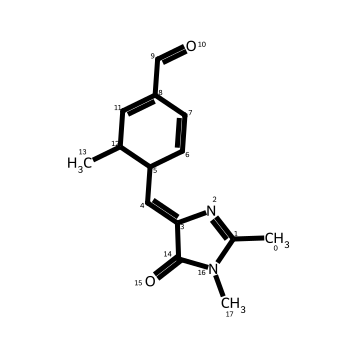 CC1=N/C(=C\C2C=CC(C=O)=CC2C)C(=O)N1C